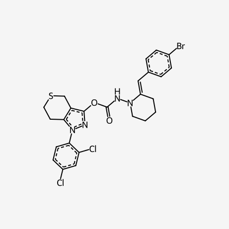 O=C(NN1CCCCC1=Cc1ccc(Br)cc1)Oc1nn(-c2ccc(Cl)cc2Cl)c2c1CSCC2